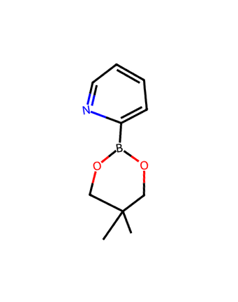 CC1(C)COB(c2ccccn2)OC1